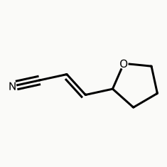 N#C/C=C/C1CCCO1